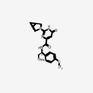 COC[C@@H](NC(=O)c1cc(=O)[nH]c(N2CC3CC3C2)n1)c1ccc(OC(F)(F)F)cc1